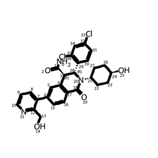 NC(=O)[C@@H]1c2cc(-c3cccnc3CO)ccc2C(=O)N([C@H]2CC[C@H](O)CC2)[C@H]1c1ccc(Cl)cc1Cl